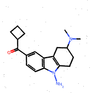 CN(C)C1CCc2c(c3cc(C(=O)C4CCC4)ccc3n2N)C1